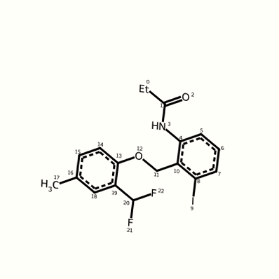 CCC(=O)Nc1cccc(I)c1COc1ccc(C)cc1C(F)F